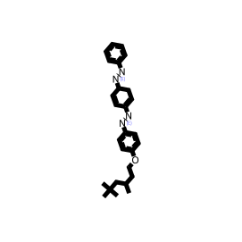 CC(CCOc1ccc(/N=N/C2=CCC(/N=N/c3ccccc3)C=C2)cc1)CC(C)(C)C